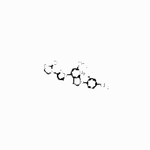 Cc1cc(-n2ccc(N3CCNC3=O)n2)c2c(n1)N(c1ccc(C(F)(F)F)cc1C(F)(F)F)CC2